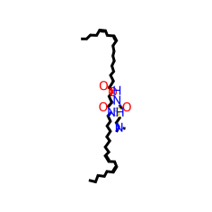 CCCC/C=C\C/C=C\CCCCCCCCC(=O)OCC(NC(=O)SCCN(C)C)C(=O)NCCCCCCCC/C=C\C/C=C\CCCCC